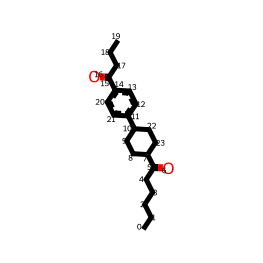 CCCCCC(=O)C1CCC(c2ccc(C(=O)CCC)cc2)CC1